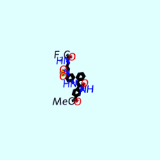 COC(=O)c1ccc2c(c1)NC(=O)C2=C(Nc1ccc(N(CCCNC(=O)C(F)(F)F)S(C)(=O)=O)cc1)c1ccccc1